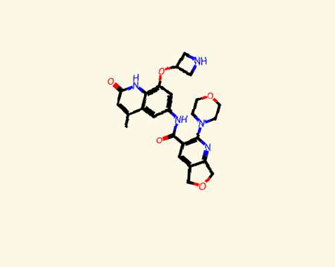 Cc1cc(=O)[nH]c2c(OC3CNC3)cc(NC(=O)c3cc4c(nc3N3CCOCC3)COC4)cc12